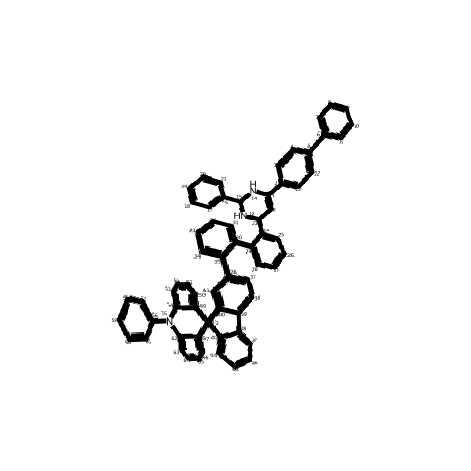 C1=C(c2ccc(-c3ccccc3)cc2)NC(c2ccccc2)NC1c1ccccc1-c1ccccc1-c1ccc2c(c1)C1(c3ccccc3-2)c2ccccc2N(c2ccccc2)c2ccccc21